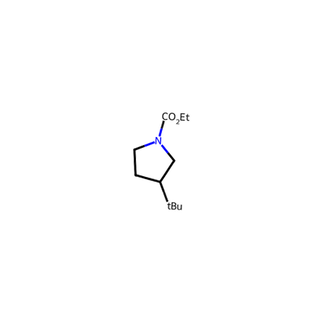 CCOC(=O)N1CCC(C(C)(C)C)C1